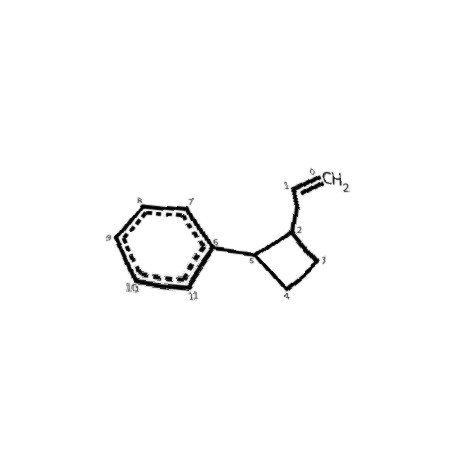 C=CC1CCC1c1ccccc1